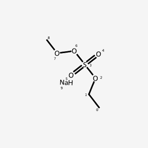 CCOS(=O)(=O)OOC.[NaH]